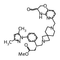 COC(=O)C[C@H](CN1CC2(CCN(Cc3ccc4c(n3)NC(=C=O)CO4)CC2)C1)c1cccc(-n2nc(C)cc2C)c1